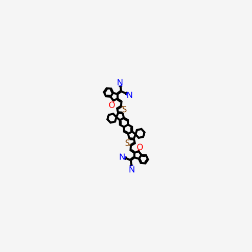 N#CC(C#N)=C1/C(=C/c2cc3c(s2)C2=CC4C=C5C(=CC4C=C2C32CCCCC2)c2sc(/C=C3\C(=O)c4ccccc4C3=C(C#N)C#N)cc2C52CCCCC2)C(=O)c2ccccc21